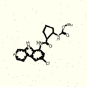 CC(C)(C)OC(=O)NC1CCCC1C(=O)Nc1cc(Cl)cc2c1[nH]c1cnccc12